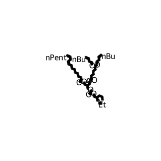 CCCC/C=C\CCOC(CCCCC(=O)OCC(COC(=O)CCCCCCC/C=C\C/C=C\CCCCC)COC(=O)OCC1CCCN(CC)C1)OCC/C=C\CCCC